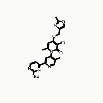 Cc1nc(COc2cc(C)n(-c3cc(-c4ccnc(C(C)(C)C)n4)ncc3C)c(=O)c2Cl)co1